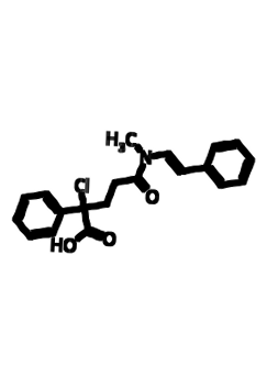 CN(C=Cc1ccccc1)C(=O)CCC(Cl)(C(=O)O)c1ccccc1